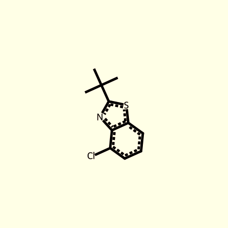 CC(C)(C)c1nc2c(Cl)cccc2s1